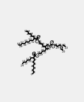 CCCCCCCCC(CCCCCC)C(=O)OCCCCC1CN(C(=O)OCCCN(CC)CC)CC1CCCCOC(=O)C(CCCCCC)CCCCCCCC